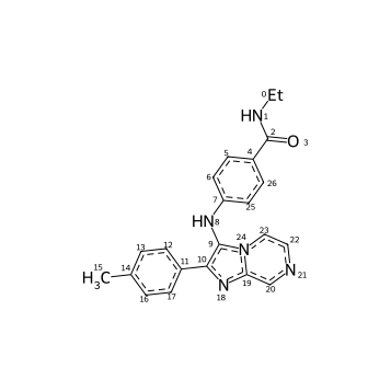 CCNC(=O)c1ccc(Nc2c(-c3ccc(C)cc3)nc3cnccn23)cc1